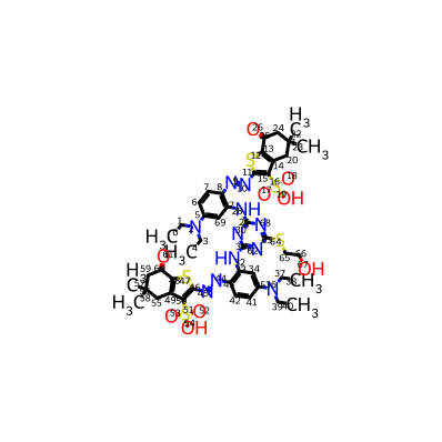 CCN(CC)c1ccc(/N=N/c2sc3c(c2S(=O)(=O)O)CC(C)(C)CC3=O)c(Nc2nc(Nc3cc(N(CC)CC)ccc3/N=N/c3sc4c(c3S(=O)(=O)O)CC(C)(C)CC4=O)nc(SCCO)n2)c1